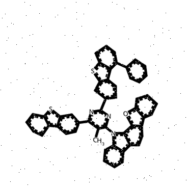 Cc1c(-c2ccc3c(c2)sc2ccccc23)nc(-c2ccc3c(c2)sc2cccc(-c4ccccc4)c23)nc1-n1c2ccccc2c2ccc3c4ccccc4oc3c21